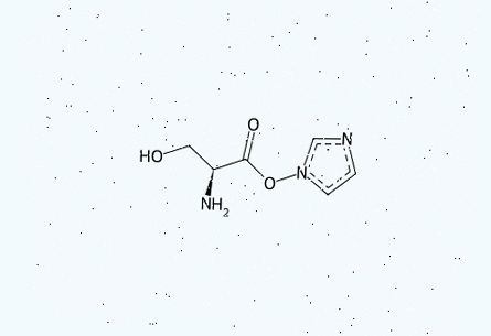 N[C@@H](CO)C(=O)On1ccnc1